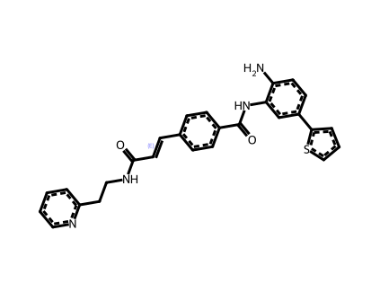 Nc1ccc(-c2cccs2)cc1NC(=O)c1ccc(/C=C/C(=O)NCCc2ccccn2)cc1